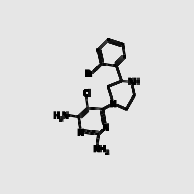 Nc1nc(N)c(Cl)c(N2CCNC(c3ccccc3Br)C2)n1